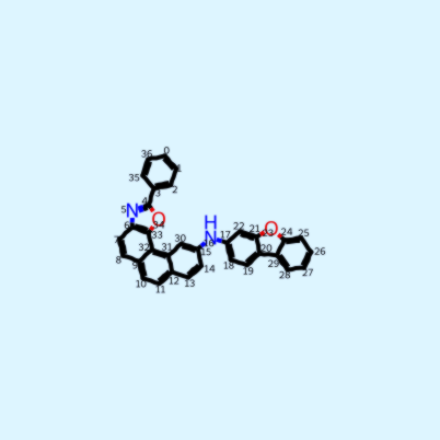 c1ccc(-c2nc3ccc4ccc5ccc(Nc6ccc7c(c6)oc6ccccc67)cc5c4c3o2)cc1